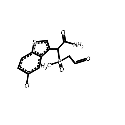 CP(=O)(CC=O)C(C(N)=O)c1csc2ccc(Cl)cc12